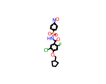 O=Nc1ccc(S(=O)(=O)NC(=O)c2cc(Cl)c(OCC3CCCC3)cc2F)cc1